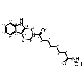 O=C(CCCCCCC(=O)N1CCc2c([nH]c3ccccc23)C1)NO